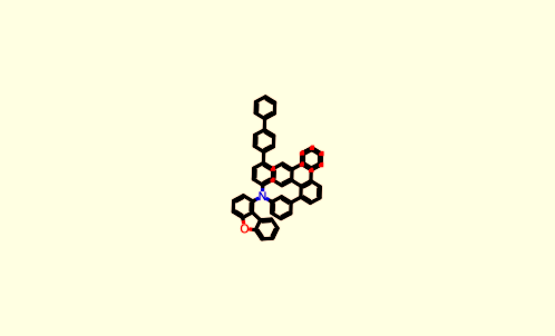 c1ccc(-c2ccc(-c3ccc(N(c4cccc(-c5cccc(-c6ccccc6)c5-c5ccccc5-c5ccccc5)c4)c4cccc5oc6ccccc6c45)cc3)cc2)cc1